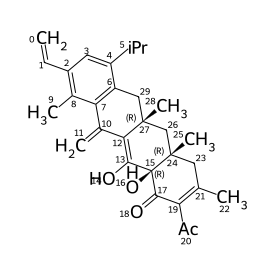 C=Cc1cc(C(C)C)c2c(c1C)C(=C)C1=C(O)[C@@]3(O)C(=O)C(C(C)=O)=C(C)C[C@@]3(C)C[C@@]1(C)C2